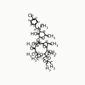 CC[C@H]1OC(C)(C)O[C@@]1(C)[C@@H]1OC(=O)[C@H](C)C(=O)[C@H](C)[C@H](O[C@@H]2OC(C)CC(N(C)Cc3ccc(Cl)cc3)C2O)[C@@]2(C)CC(C)C(O2)[C@@H]1C